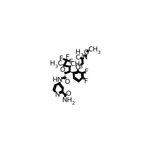 CO/N=C(\C)COc1c([C@H]2[C@H](C(=O)Nc3ccnc(C(N)=O)c3)O[C@@](C)(C(F)(F)F)[C@H]2C)ccc(F)c1F